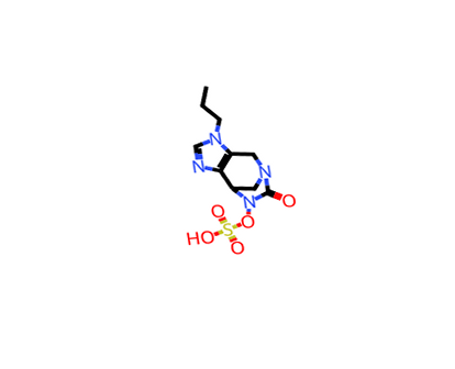 CCCn1cnc2c1CN1CC2N(OS(=O)(=O)O)C1=O